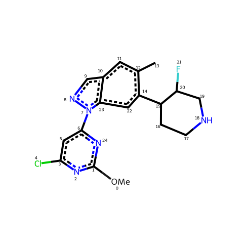 COc1nc(Cl)cc(-n2ncc3cc(C)c(C4CCNCC4F)cc32)n1